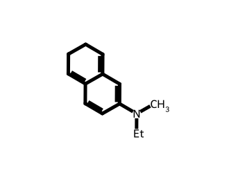 CCN(C)c1ccc2c(c1)=CCCC=2